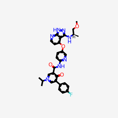 COC[C@@H](C)Nc1n[nH]c2nccc(Oc3ccc(NC(=O)c4cn(C(C)C)cc(-c5ccc(F)cc5)c4=O)nc3)c12